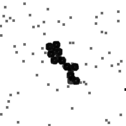 c1ccc(C2(c3ccccc3)c3ccccc3-c3c(-n4c5ccccc5c5cc(-c6ccc7c(c6)c6ccccc6n7-c6ccc7oc8ccccc8c7c6)ccc54)cccc32)cc1